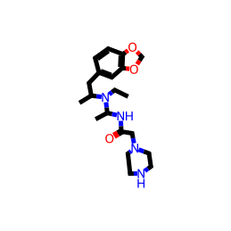 CCN(C(C)Cc1ccc2c(c1)OCO2)C(C)NC(=O)CN1CCNCC1